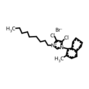 CCCCCCCCC[n+]1cn(-c2c(C)ccc3ccccc23)c(Cl)c1Cl.[Br-]